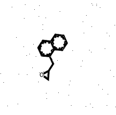 c1ccc2c(CC3CO3)cccc2c1